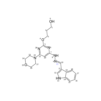 OCCCOc1nc(N/N=C/c2c[nH]c3ccccc23)cc(N2CCOCC2)n1